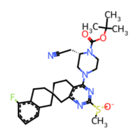 C[S+]([O-])c1nc2c(c(N3CCN(C(=O)OC(C)(C)C)[C@@H](CC#N)C3)n1)CC[C@@]1(CCc3c(F)cccc3C1)C2